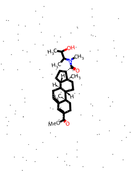 COC(=O)C1=CC2=CC[C@H]3[C@@H]4CC[C@H](C(=O)N(C)C(C)C(C)O)[C@@]4(C)CC[C@@H]3[C@@]2(C)CC1